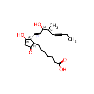 CCC#CC[C@H](C)[C@H](O)/C=C/[C@H]1[C@H](O)CC(=O)[C@@H]1CCCCCCC(=O)O